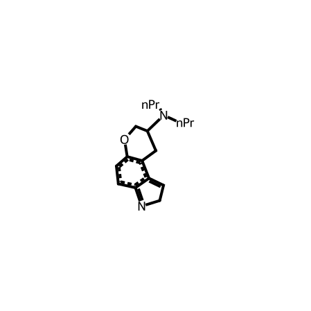 CCCN(CCC)C1COc2ccc3c(c2C1)=CCN=3